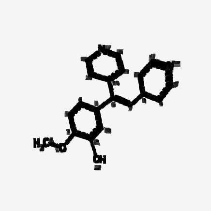 COc1ccc(C(=Cc2ccncc2)c2ccncc2)cc1O